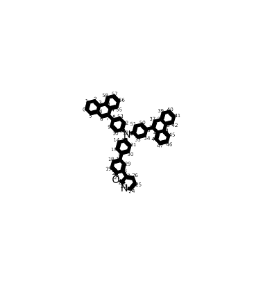 c1ccc2c(c1)cc(-c1ccc(N(c3ccc(-c4ccc5oc6ncccc6c5c4)cc3)c3ccc(-c4cc5ccccc5c5ccccc45)cc3)cc1)c1ccccc12